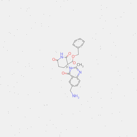 Cc1nc2ccc(CN)cc2c(=O)n1[C@]1(C(=O)OCc2ccccc2)CCC(=O)NC1=O